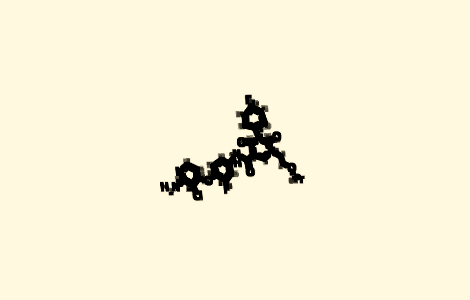 CC(C)OCCn1cc(C(=O)Nc2ccc(Oc3ccnc(N)c3Cl)c(F)c2)c(=O)n(-c2ccc(F)cc2)c1=O